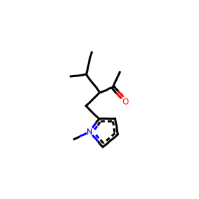 CC(=O)C(Cc1cccn1C)C(C)C